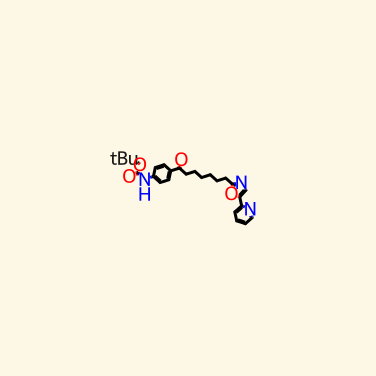 CC(C)(C)OC(=O)Nc1ccc(C(=O)CCCCCCc2ncc(-c3ccccn3)o2)cc1